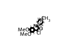 COc1cc2c(cc1OC)C(Cl)C(=O)C(N1CCN(C)CC1)=N2